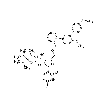 COc1ccc(-c2cc(-c3ccccc3COC[C@H]3O[C@@H](n4ccc(=O)[nH]c4=O)[C@H](OCO[Si](C(C)C)(C(C)C)C(C)C)[C@@H]3O)ccc2OC)cc1